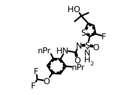 CCCc1cc(OC(F)F)cc(CCC)c1NC(=O)N=S(N)(=O)c1sc(C(C)(C)O)cc1F